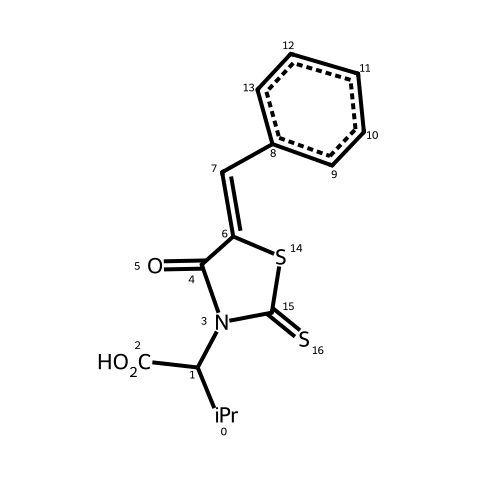 CC(C)C(C(=O)O)N1C(=O)/C(=C/c2ccccc2)SC1=S